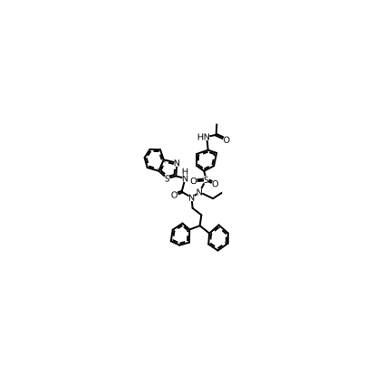 CCN(N(CCC(c1ccccc1)c1ccccc1)C(=O)Nc1nc2ccccc2s1)S(=O)(=O)c1ccc(NC(C)=O)cc1